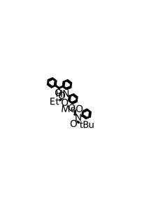 CCC(=O)Oc1c(Nc2ccccc2C(=O)c2ccccc2)cccc1OCCN(C(=O)C(C)(C)C)c1ccccc1OC